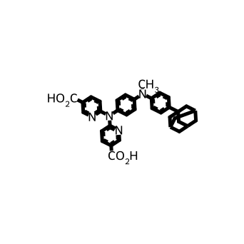 CN(c1ccc(N(c2ccc(C(=O)O)cn2)c2ccc(C(=O)O)cn2)cc1)c1ccc(C23CC4CC(CC(C4)C2)C3)cc1